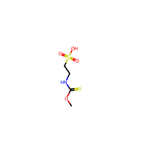 COC(=S)NCCS(=O)(=O)O